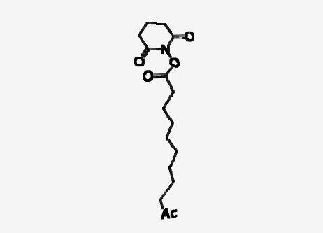 CC(=O)CCCCCCCCC(=O)ON1C(=O)CCCC1=O